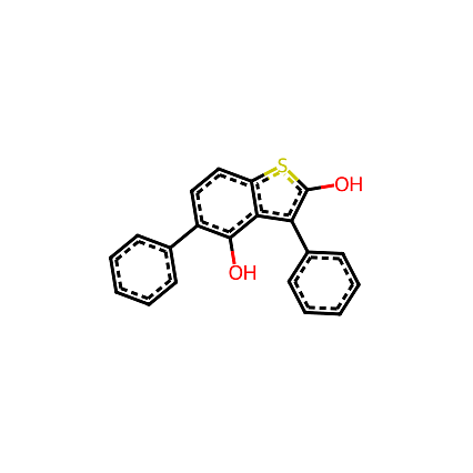 Oc1sc2ccc(-c3ccccc3)c(O)c2c1-c1ccccc1